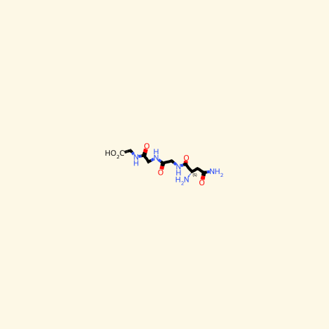 NC(=O)C[C@H](N)C(=O)NCC(=O)NCC(=O)NCC(=O)O